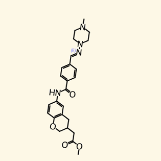 COC(=O)CC1COc2ccc(NC(=O)c3ccc(/C=N/N4CCN(C)CC4)cc3)cc2C1